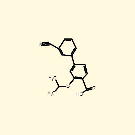 CC(C)Oc1cc(-c2cccc(C#N)c2)ccc1C(=O)O